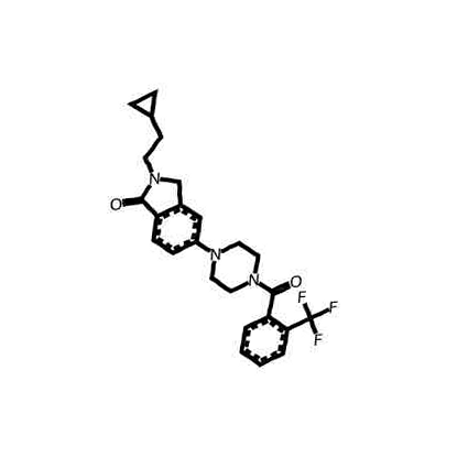 O=C1c2ccc(N3CCN(C(=O)c4ccccc4C(F)(F)F)CC3)cc2CN1CCC1CC1